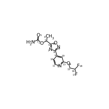 CC(OC(N)=O)c1nc(-c2ccnc(OCC(F)F)c2)no1